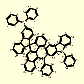 c1ccc(N(c2ccccc2)c2ccc3c(c2)-c2ccccc2C32c3ccccc3-c3c2cc2ccccc2c3N(c2ccccc2)c2ccc3c4ccccc4n(-c4ccccc4)c3c2)cc1